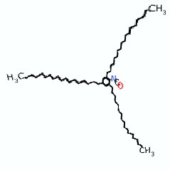 CCCCCCCCCCCCCCCCCCc1cc(CCCCCCCCCCCCCCCCCC)c(N=C=O)c(CCCCCCCCCCCCCCCCCC)c1